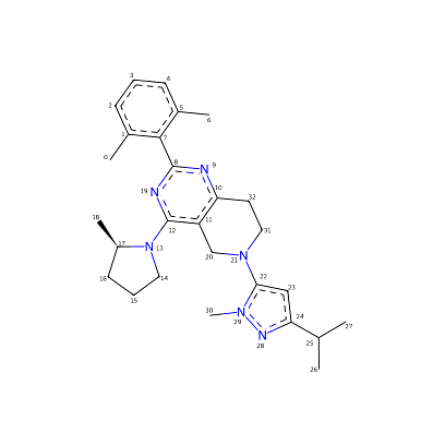 Cc1cccc(C)c1-c1nc2c(c(N3CCC[C@H]3C)n1)CN(c1cc(C(C)C)nn1C)CC2